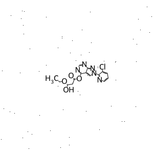 CCOC(O)CC(=O)Oc1ncnc2nn(-c3ncccc3Cl)cc12